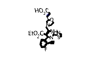 C#Cc1c(F)cccc1C1N=C(c2nccs2)NC(CN2CCO[C@H](/C=C/C(=O)O)C2)=C1C(=O)OCC